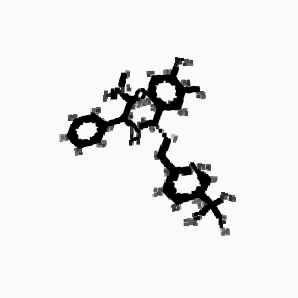 CNC(=O)[C@@H](N[C@@H](CCc1ccc(C(F)(F)F)cn1)c1ccc(F)c(C)c1)c1ccccc1